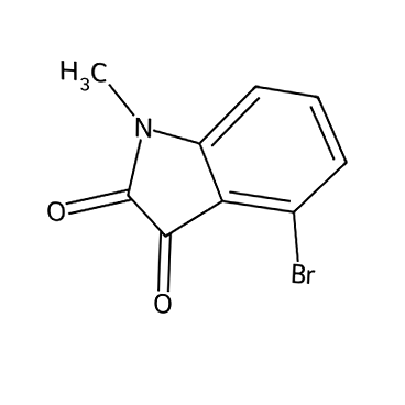 CN1C(=O)C(=O)c2c(Br)cccc21